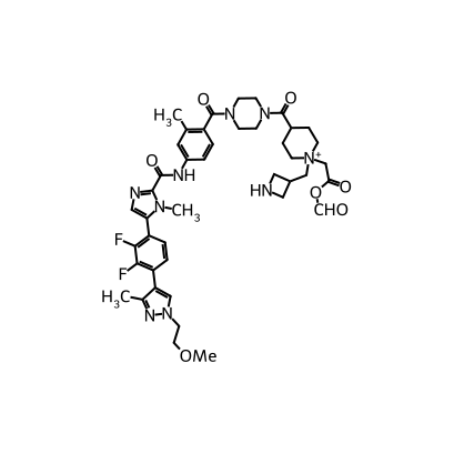 COCCn1cc(-c2ccc(-c3cnc(C(=O)Nc4ccc(C(=O)N5CCN(C(=O)C6CC[N+](CC(=O)OC=O)(CC7CNC7)CC6)CC5)c(C)c4)n3C)c(F)c2F)c(C)n1